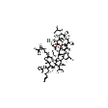 C/C=C/C[C@@H](C)[C@@H](OC(C)=O)C(C(=O)N[C@@H](CC)C(=O)OCCN(C)C(C)=O)N(C)C(=O)[C@H](C(C)C)N(C)C(=O)[C@H](CC(C)C)N(C)C(=O)[C@H](CC(C)C)N(C)C(=O)[C@@H](C)NC(=O)[C@H](C)NC(=O)[C@H](CC(C)C)N(C)C(=O)[C@@H](N)C(C)C